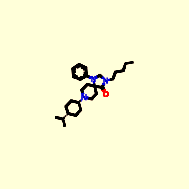 CCCCCN1CN(c2ccccc2)C2(CCN([C@H]3CC[C@@H](C(C)C)CC3)CC2)C1=O